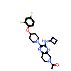 CC(=O)N1CCc2nc(N3CCC(Oc4ccc(F)cc4F)CC3)c(NC3CCC3)nc2C1